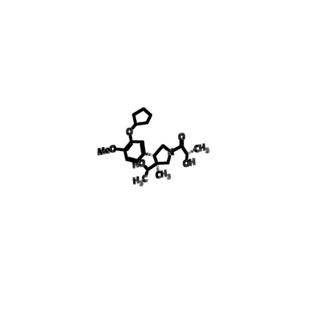 COc1ccc([C@@H]2CN(C(=O)[C@H](C)O)C[C@@]2(C)[C@@H](C)O)cc1OC1CCCC1